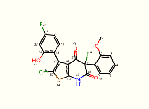 COc1ccccc1C1(F)C(=O)Nc2sc(Cl)c(-c3ccc(F)cc3O)c2C1=O